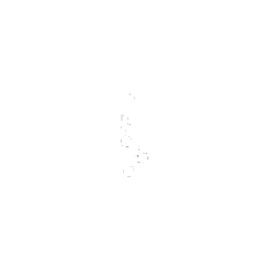 O=C(NCCCN1CCOCC1)Nc1cccc(Cn2nc(-c3ccc(F)c(F)c3)ccc2=O)c1